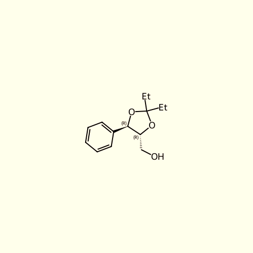 CCC1(CC)O[C@H](c2ccccc2)[C@@H](CO)O1